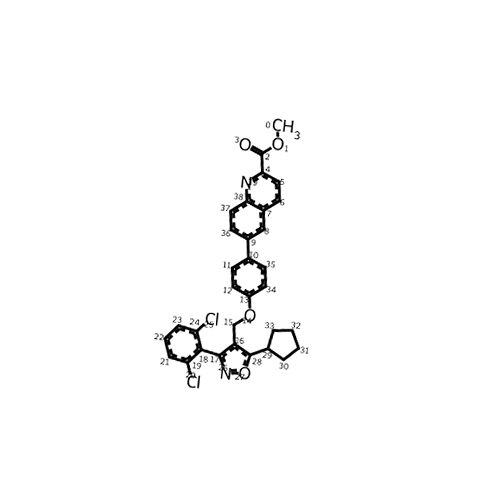 COC(=O)c1ccc2cc(-c3ccc(OCc4c(-c5c(Cl)cccc5Cl)noc4C4CCCC4)cc3)ccc2n1